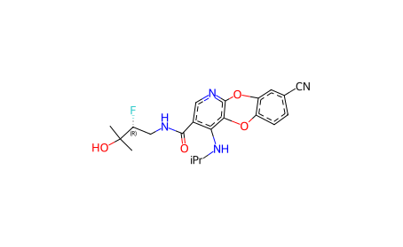 CC(C)Nc1c(C(=O)NC[C@@H](F)C(C)(C)O)cnc2c1Oc1ccc(C#N)cc1O2